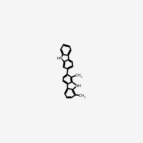 Cc1cccc2c1[nH]c1c(C)c(-c3ccc4c(c3)[nH]c3ccccc34)ccc12